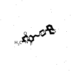 Cc1cc(=O)n2c(n1)C(F)CC(CCN1CCN(c3cccc4sccc34)CC1)C2